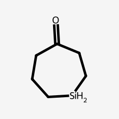 O=C1CCC[SiH2]CC1